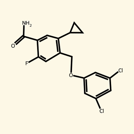 NC(=O)c1cc(C2CC2)c(COc2cc(Cl)cc(Cl)c2)cc1F